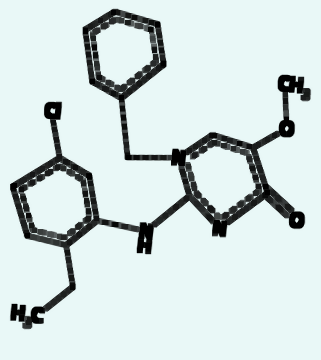 CCc1ccc(Cl)cc1Nc1nc(=O)c(OC)cn1Cc1ccccc1